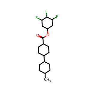 CC1CCC(C2CCC(C(=O)OC3CC(F)C(F)C(F)C3)CC2)CC1